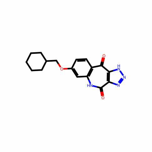 O=c1[nH]c2cc(OCC3CCCCC3)ccc2c(=O)c2[nH]nnc12